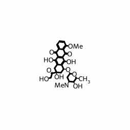 CN[C@H]1C[C@@H](O[C@H]2C[C@](O)(C(=O)CO)Cc3c(O)c4c(c(O)c32)C(=O)c2c(OC)cccc2C4=O)O[C@@H](C)[C@H]1O